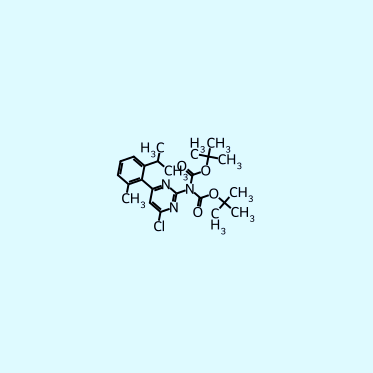 Cc1cccc(C(C)C)c1-c1cc(Cl)nc(N(C(=O)OC(C)(C)C)C(=O)OC(C)(C)C)n1